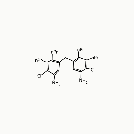 CCCc1c(Cc2cc(N)c(Cl)c(CCC)c2CCC)cc(N)c(Cl)c1CCC